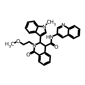 COCCN1C(=O)c2ccccc2C(C(=O)Nc2cnc3ccccc3c2)C1c1cn(C)c2ccccc12